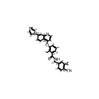 Cc1c(Oc2ccnc3cc(-n4ccnc4)ccc23)cccc1C(=O)NCc1ccc(C#N)c(F)c1